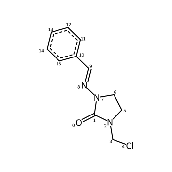 O=C1N(CCl)CCN1N=Cc1ccccc1